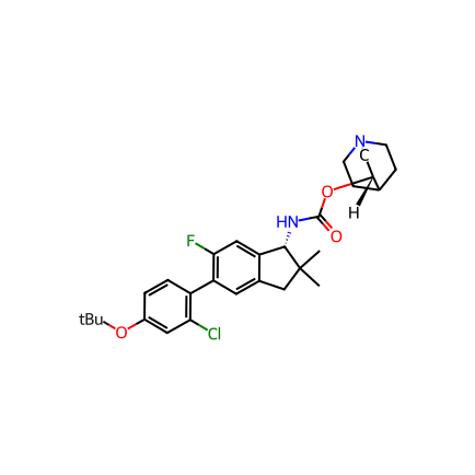 CC(C)(C)Oc1ccc(-c2cc3c(cc2F)[C@H](NC(=O)O[C@@H]2CN4CCC2CC4)C(C)(C)C3)c(Cl)c1